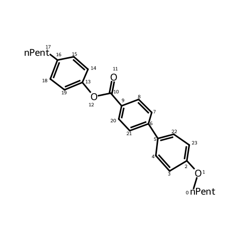 CCCCCOc1ccc(-c2ccc(C(=O)Oc3ccc(CCCCC)cc3)cc2)cc1